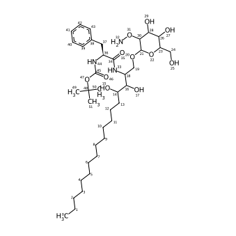 CCCCCCCCCCCCCCC(O)C(O)C(COC1OC(CO)C(O)C(O)C1ON)NC(=O)[C@H](Cc1ccccc1)NC(=O)OC(C)(C)C